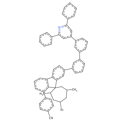 CCC1CC(C)CC2(c3cc(-c4cccc(-c5cccc(-c6cc(-c7ccccc7)nc(-c7ccccc7)c6)c5)c4)ccc3-c3cccc(-c4ccc(C#N)cc4)c32)C(C)C1